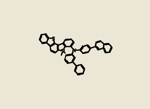 C[Si]1(C)c2ccc3c(sc4ccccc43)c2-c2cccc(N(c3ccc(-c4ccc5ccccc5c4)cc3)c3cccc(-c4ccccc4)c3)c21